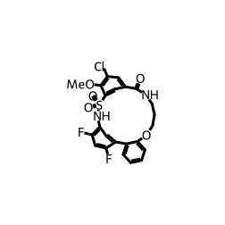 COc1c(Cl)cc2cc1S(=O)(=O)Nc1cc(c(F)cc1F)-c1ccccc1OCCCNC2=O